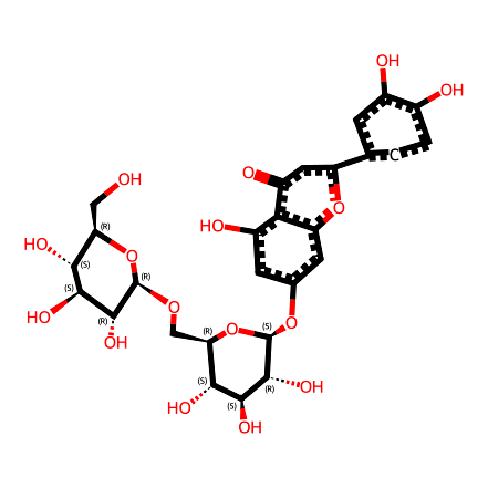 O=c1cc(-c2ccc(O)c(O)c2)oc2cc(O[C@@H]3O[C@H](CO[C@@H]4O[C@H](CO)[C@@H](O)[C@H](O)[C@H]4O)[C@@H](O)[C@H](O)[C@H]3O)cc(O)c12